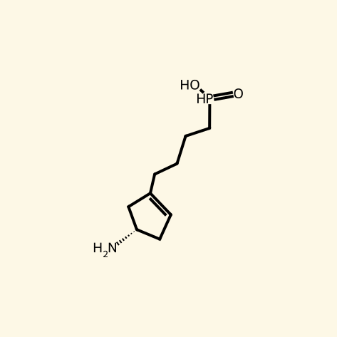 N[C@H]1CC=C(CCCC[PH](=O)O)C1